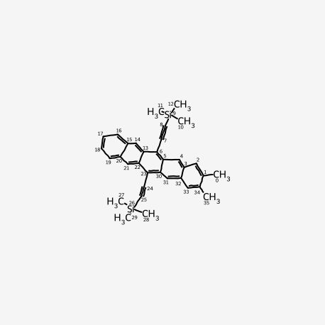 Cc1cc2cc3c(C#C[Si](C)(C)C)c4cc5ccccc5cc4c(C#C[Si](C)(C)C)c3cc2cc1C